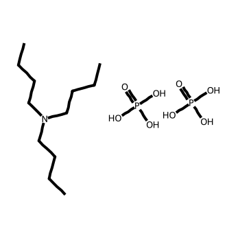 CCCCN(CCCC)CCCC.O=P(O)(O)O.O=P(O)(O)O